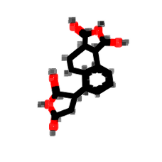 O=C1CC(c2cccc3c2CCC2C(=O)OC(=O)C32)C(=O)O1